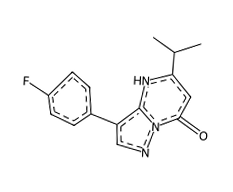 CC(C)c1cc(=O)n2ncc(-c3ccc(F)cc3)c2[nH]1